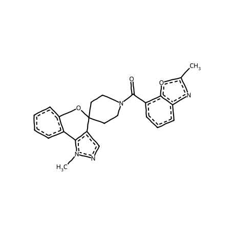 Cc1nc2cccc(C(=O)N3CCC4(CC3)Oc3ccccc3-c3c4cnn3C)c2o1